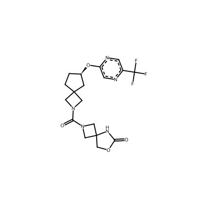 O=C1NC2(CO1)CN(C(=O)N1CC3(CC[C@@H](Oc4cnc(C(F)(F)F)cn4)C3)C1)C2